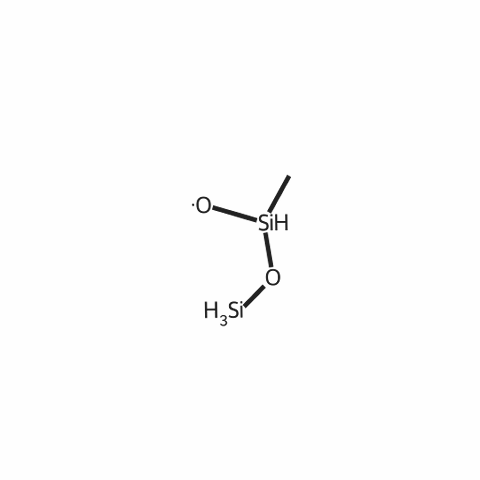 C[SiH]([O])O[SiH3]